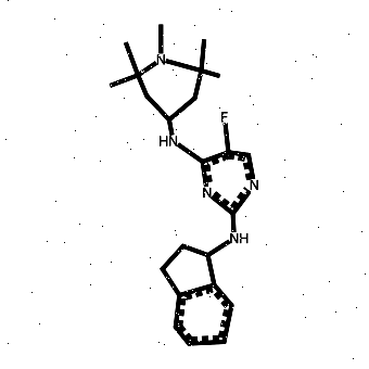 CN1C(C)(C)CC(Nc2nc(NC3CCc4ccccc43)ncc2F)CC1(C)C